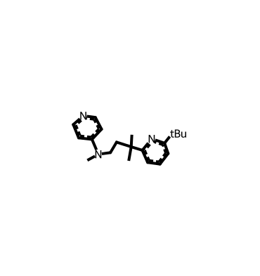 CN(CCC(C)(C)c1cccc(C(C)(C)C)n1)c1ccncc1